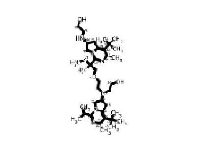 CSC(C)(COCCN(CCO)C1CC2=C(C(C)(C)C)[C@H](C)N=C(C(C)C)N2C1)C1=N[C@@H](C)C(C(C)(C)C)=C2CC(NCCO)CN12